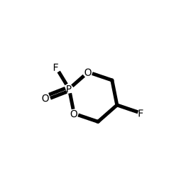 O=P1(F)OCC(F)CO1